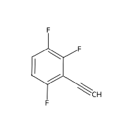 C#Cc1c(F)ccc(F)c1F